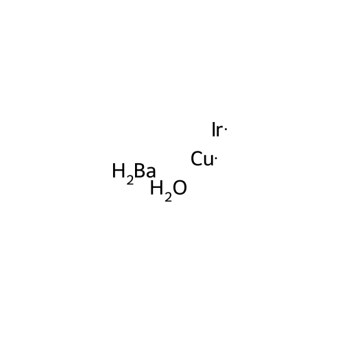 O.[BaH2].[Cu].[Ir]